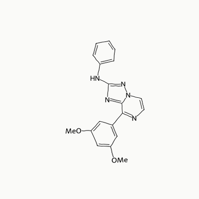 COc1cc(OC)cc(-c2nccn3nc(Nc4ccccc4)nc23)c1